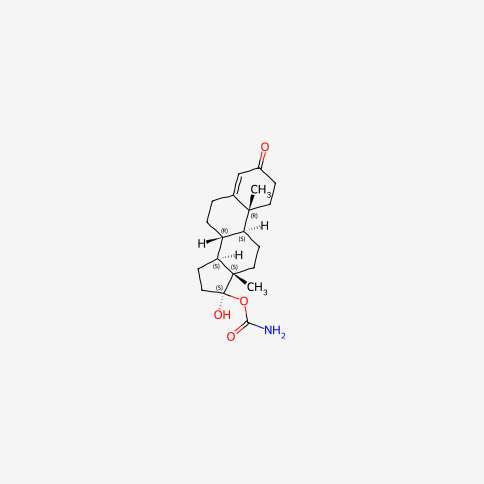 C[C@]12CCC(=O)C=C1CC[C@@H]1[C@@H]2CC[C@@]2(C)[C@H]1CC[C@]2(O)OC(N)=O